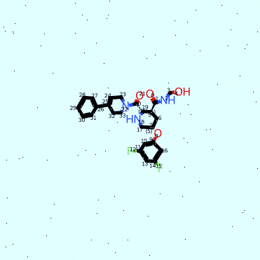 O=C(NCO)[C@H]1C[C@H](Oc2cc(F)cc(F)c2)CN[C@@H]1C(=O)N1CC=C(c2ccccc2)CC1